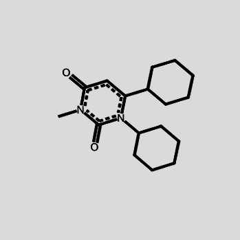 Cn1c(=O)cc(C2CCCCC2)n(C2CCCCC2)c1=O